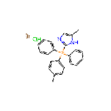 Cc1ccc([P+](c2ccccc2)(c2ccccc2)c2ncc(C)[nH]2)cc1.Cl.[Br-]